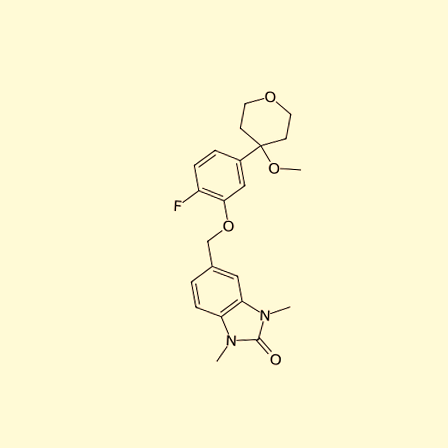 COC1(c2ccc(F)c(OCc3ccc4c(c3)n(C)c(=O)n4C)c2)CCOCC1